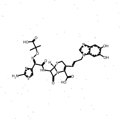 CC(C)(O/N=C(\C(=O)NC1C(=O)N2C(C(=O)O)=C(/C=C/Cn3cnc4cc(O)c(O)cc43)CS[C@@H]12)c1csc(N)n1)C(=O)O